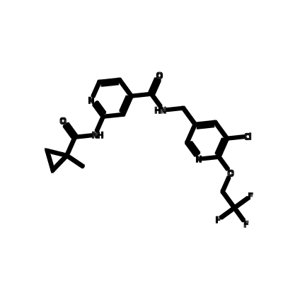 CC1(C(=O)Nc2cc(C(=O)NCc3cnc(OCC(F)(F)F)c(Cl)c3)ccn2)CC1